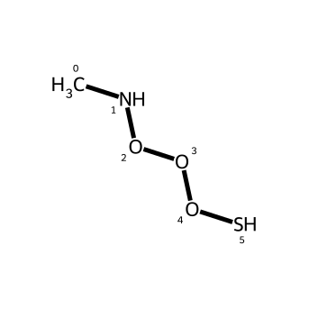 CNOOOS